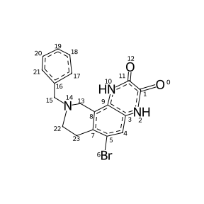 O=c1[nH]c2cc(Br)c3c(c2[nH]c1=O)CN(Cc1ccccc1)CC3